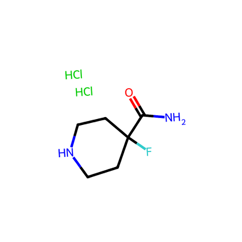 Cl.Cl.NC(=O)C1(F)CCNCC1